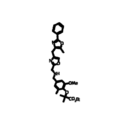 CCOC(=O)C(C)(C)Oc1c(C)cc(CNCc2nc(Cc3nc(-c4ccccc4)oc3C)co2)cc1OC